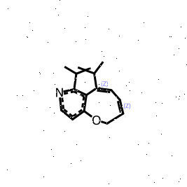 CC(C)/C1=C/C=C\COc2ccnc(C(C)C)c21